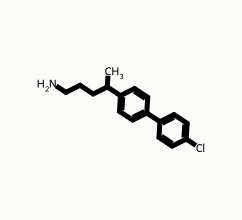 CC(CCCN)c1ccc(-c2ccc(Cl)cc2)cc1